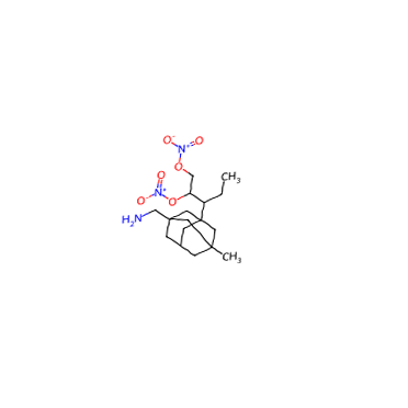 CCC(C(CO[N+](=O)[O-])O[N+](=O)[O-])C12CC3CC(C)(CC(CN)(C3)C1)C2